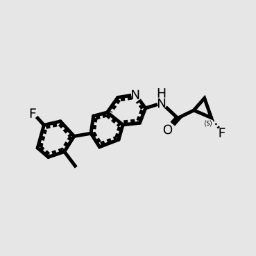 Cc1ccc(F)cc1-c1ccc2cc(NC(=O)C3C[C@@H]3F)ncc2c1